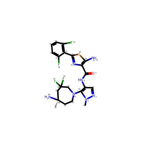 Cn1ncc(NC(=O)c2nc(-c3c(F)cccc3F)sc2N)c1N1CC[C@@](C)(N)CC(F)(F)C1